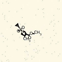 CCOC(=O)c1cn(S(=O)(=O)C2CC2)cc1C